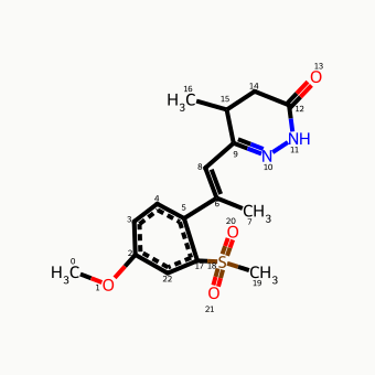 COc1ccc(C(C)=CC2=NNC(=O)CC2C)c(S(C)(=O)=O)c1